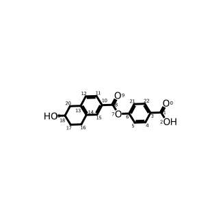 O=C(O)c1ccc(OC(=O)c2ccc3c(c2)CCC(O)C3)cc1